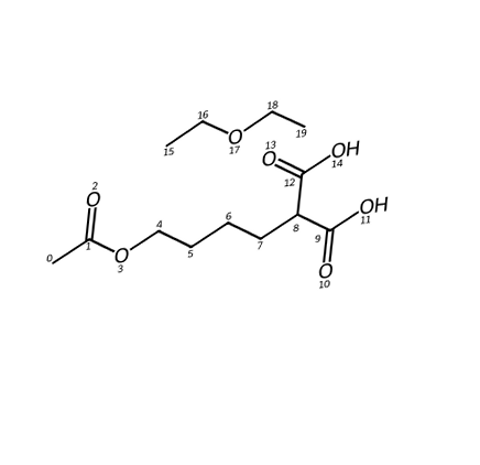 CC(=O)OCCCCC(C(=O)O)C(=O)O.CCOCC